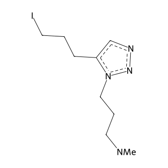 CNCCCn1nncc1CCCI